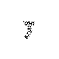 O=C(N1CCC(n2c(-c3ccccn3)nc3cc(F)ccc32)CC1)C1(F)CCN(Cc2nccs2)CC1